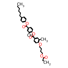 C=CC(=O)OCCCCOc1ccc(C(=O)Oc2ccc(C(=O)Oc3ccc(CCCCCC)cc3)cc2C)cc1C